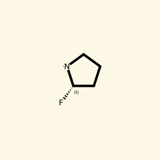 F[C@H]1CCC[N]1